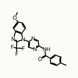 COc1ccc2c(c1)nc(C(F)(F)F)n2-c1cnc(NC(=O)c2ccc(C)cc2)cn1